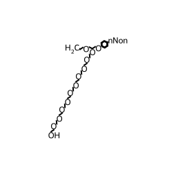 C=CCOCC(COc1ccc(CCCCCCCCC)cc1)OCCOCCOCCOCCOCCOCCOCCOCCOCCOCCO